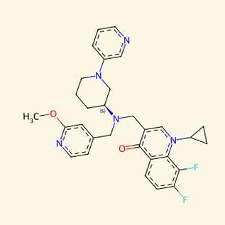 COc1cc(CN(Cc2cn(C3CC3)c3c(F)c(F)ccc3c2=O)[C@H]2CCCN(c3cccnc3)C2)ccn1